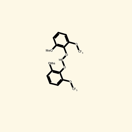 COc1cccc(OC(F)(F)F)c1OBOc1c(OC)cccc1OC(F)(F)F